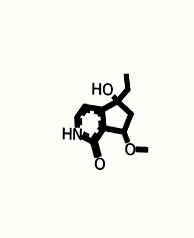 CCC1(O)CC(OC)c2c1cc[nH]c2=O